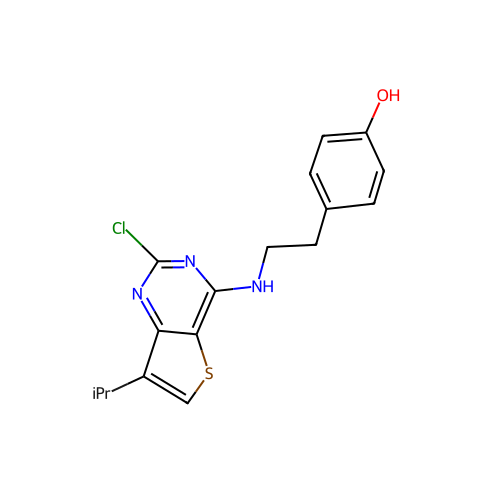 CC(C)c1csc2c(NCCc3ccc(O)cc3)nc(Cl)nc12